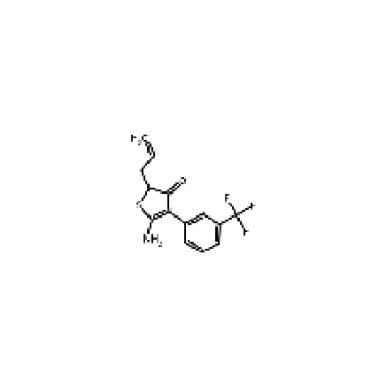 C=CCC1SC(N)=C(c2cccc(C(F)(F)F)c2)C1=O